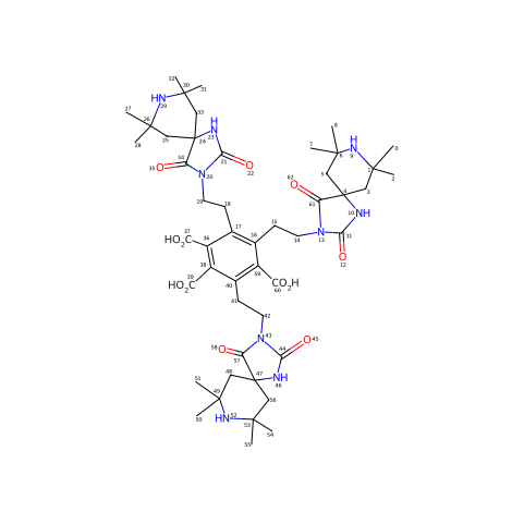 CC1(C)CC2(CC(C)(C)N1)NC(=O)N(CCc1c(CCN3C(=O)NC4(CC(C)(C)NC(C)(C)C4)C3=O)c(C(=O)O)c(C(=O)O)c(CCN3C(=O)NC4(CC(C)(C)NC(C)(C)C4)C3=O)c1C(=O)O)C2=O